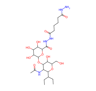 CCC(CC)C1OC(CO)C(O)C(OC2OC(C(=O)NNC(=O)CCCCC(=O)NN)C(O)C(O)C2O)C1NC(C)=O